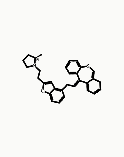 C[C@@H]1CCCN1CCc1cc2c(CC=C3C4=CC=CCC4=CSc4ccccc43)cccc2o1